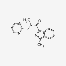 CN(Cc1ncccn1)C(=O)c1nn(C)c2ccccc12